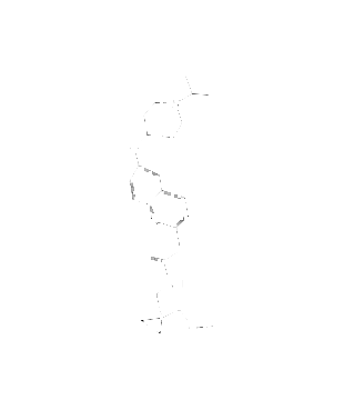 COCC1(CNC(=O)Oc2ccc3cc(OC4CCN(C(C)C)CC4)ccc3n2)CC1